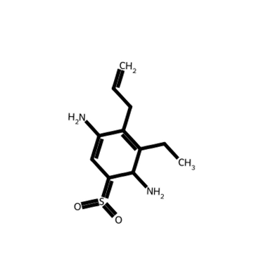 C=CCC1=C(CC)C(N)C(=S(=O)=O)C=C1N